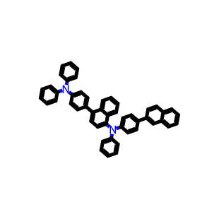 c1ccc(N(c2ccccc2)c2ccc(-c3ccc(N(c4ccccc4)c4ccc(-c5ccc6ccccc6c5)cc4)c4ccccc34)cc2)cc1